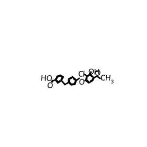 CCC(=O)c1ccc(OCc2ccc(Cc3cccc(C(=O)O)c3)cc2)c(Cl)c1O